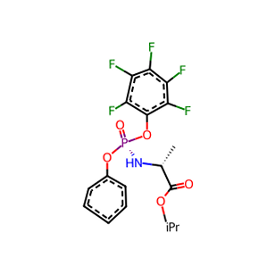 CC(C)OC(=O)[C@@H](C)N[P@@](=O)(Oc1ccccc1)Oc1c(F)c(F)c(F)c(F)c1F